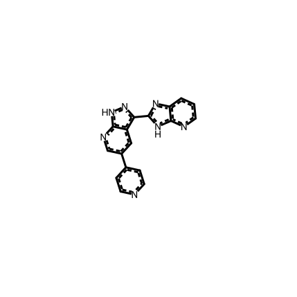 c1cnc2[nH]c(-c3n[nH]c4ncc(-c5ccncc5)cc34)nc2c1